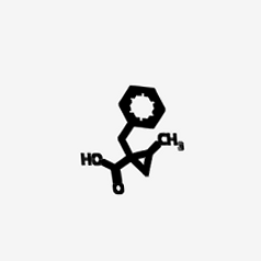 CC1CC1(Cc1ccccc1)C(=O)O